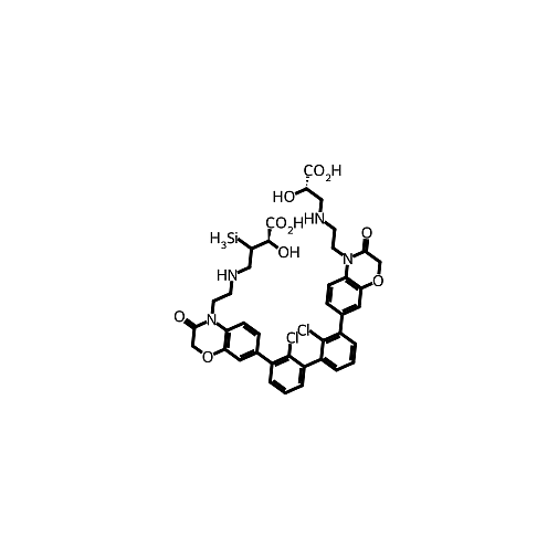 O=C(O)[C@@H](O)C([SiH3])CNCCN1C(=O)COc2cc(-c3cccc(-c4cccc(-c5ccc6c(c5)OCC(=O)N6CCNC[C@H](O)C(=O)O)c4Cl)c3Cl)ccc21